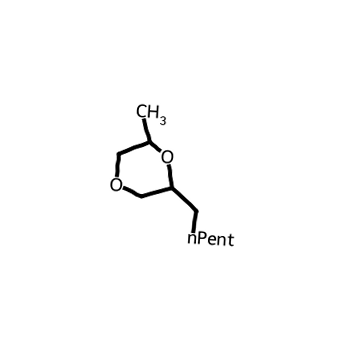 CCCCCCC1COCC(C)O1